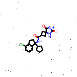 O=C1NC(=O)C2(CC(C(=O)NC3(C4CCCC4)CCc4c(Cl)cccc43)C2)N1